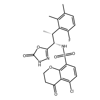 Cc1ccc(F)c([C@@H](C)[C@H](NS(=O)(=O)c2ccc(Cl)c3c2OCCC3=O)c2n[nH]c(=O)o2)c1C